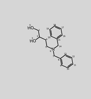 OCC(O)CCN(Cc1ccccc1)Cc1ccccc1